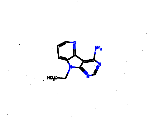 Nc1ncnc2c1c1ncccc1n2CC(=O)O